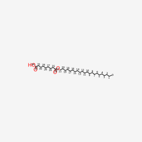 CCCCCCCCCCCCCCCCCCCCCCOC(=O)CCCCCCCC(=O)O